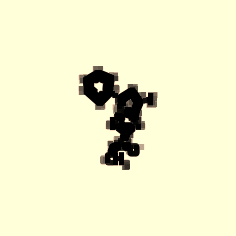 CC[S+]([O-])c1nc2n(n1)[C@H](c1ccccc1)C[C@@H]2F